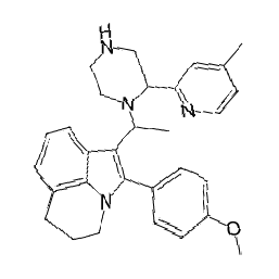 COc1ccc(-c2c(C(C)N3CCNCC3c3cc(C)ccn3)c3cccc4c3n2CCC4)cc1